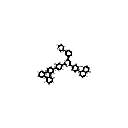 C1=C(c2cc(-c3cccc(-c4cccnc4)c3)nc(-c3ccc(-c4ccc5c6ccccc6c6ccccc6c5c4)cc3)n2)CCC(c2cccc3ccccc23)=C1